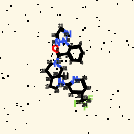 O=C(c1ccccc1-n1nccn1)N1CCC2CCN(c3cc(C(F)(F)F)ccn3)[C@H]2C1